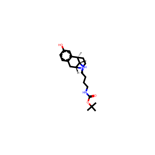 CN1CC[C@]2(C)c3cc(O)ccc3C[C@@H]1[C@H]2NCCCCNC(=O)OC(C)(C)C